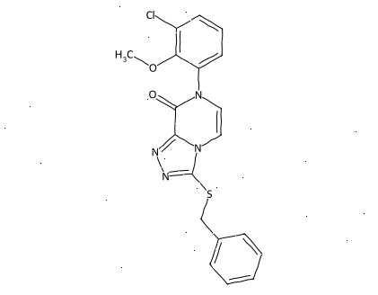 COc1c(Cl)cccc1-n1ccn2c(SCc3ccccc3)nnc2c1=O